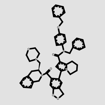 O=C(c1cc(-c2cc3c(cc2C(=O)N2Cc4ccccc4C[C@H]2CN2CCOCC2)OOC3)n2c1CCCC2)N(Cc1ccccc1)c1ccc(OCc2ccccc2)cc1